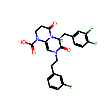 O=C1[C@H](Cc2ccc(F)c(F)c2)N2C(=O)CCN(C(=O)O)C2=CN1CCc1cccc(F)c1